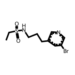 CCS(=O)(=O)NCCCc1cncc(Br)c1